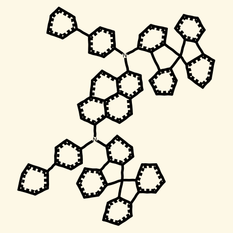 c1ccc(-c2ccc(N(c3cccc4c3-c3ccccc3C43c4ccccc4-c4ccccc43)c3ccc4ccc5c(N(c6ccc(-c7ccccc7)cc6)c6cccc7c6-c6ccccc6C76c7ccccc7-c7ccccc76)ccc6ccc3c4c65)cc2)cc1